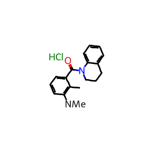 CNc1cccc(C(=O)N2CCCc3ccccc32)c1C.Cl